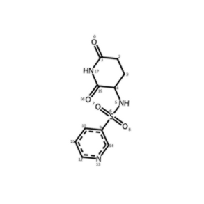 O=C1CCC(NS(=O)(=O)c2cccnc2)C(=O)N1